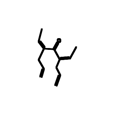 C=CC/C(=C/C)C(=O)/C(=C\C)CC=C